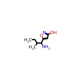 CCC(C)C(N)c1cc(O)no1